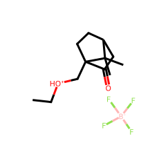 CC[OH+]CC12CCC(CC1=O)C2(C)C.F[B-](F)(F)F